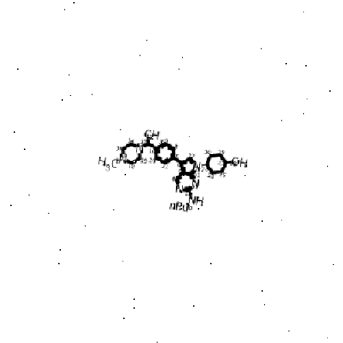 CCCCNc1ncc2c(-c3ccc(C(C)N4CCN(C)CC4)cc3)cn([C@H]3CC[C@H](O)CC3)c2n1